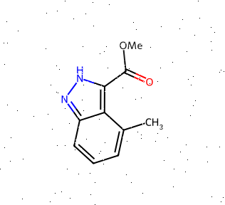 COC(=O)c1[nH]nc2cccc(C)c12